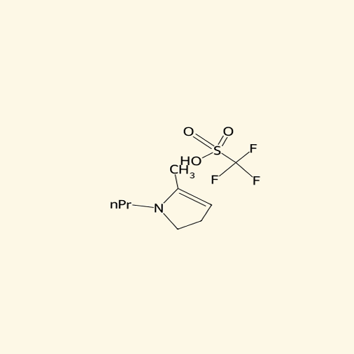 CCCN1CCC=C1C.O=S(=O)(O)C(F)(F)F